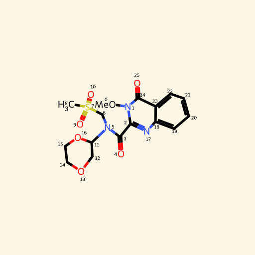 COn1c(C(=O)N(CS(C)(=O)=O)C2COCCO2)nc2ccccc2c1=O